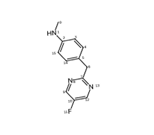 CNc1ccc(Cc2ncc(F)cn2)cc1